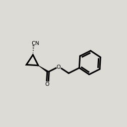 N#C[C@H]1C[C@@H]1C(=O)OCc1ccccc1